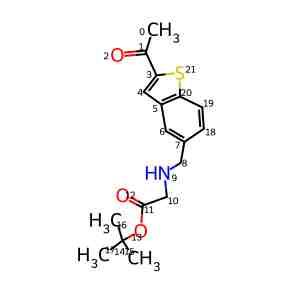 CC(=O)c1cc2cc(CNCC(=O)OC(C)(C)C)ccc2s1